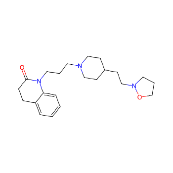 O=C1CCc2ccccc2N1CCCN1CCC(CCN2CCCO2)CC1